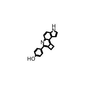 Oc1ccc(-c2nc3ccc4[nH]ccc4c3c3c2CC3)cc1